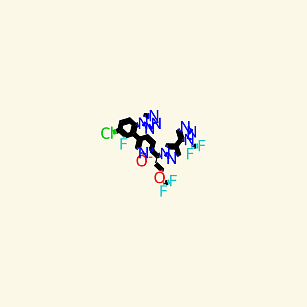 [O-][n+]1cc(-c2c(-n3cnnn3)ccc(Cl)c2F)ccc1[C@@H](CCOC(F)F)n1cc(-c2cnnn2C(F)F)cn1